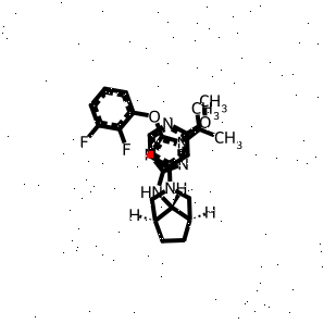 COc1cc(N2C[C@H]3CC[C@@H](C2)[C@@H]3Nc2nc(Oc3cccc(F)c3F)n(C(C)C)n2)ccn1